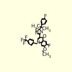 CCOc1cc2c(cc1F)c(=O)c(-c1noc(C(C)(C)c3ccc(F)cc3)n1)cn2Cc1ccc(C(F)(F)F)cc1